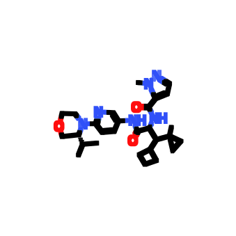 CC(C)[C@@H]1COCCN1c1ccc(NC(=O)[C@@H](NC(=O)c2ccnn2C)C(C2CCC2)C2(C)CC2)cn1